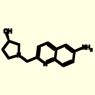 Nc1ccc2nc(CN3CC[C@@H](O)C3)ccc2c1